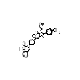 Cc1ccc(C2SC(CC(=O)N3CCC(N4CC5=C(C=CCC5)NC4=O)CC3)C(=O)N2CCC(C)C)cc1